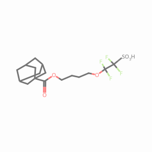 O=C(OCCCCOC(F)(F)C(F)(F)S(=O)(=O)O)C12CC3CC(CC(C3)C1)C2